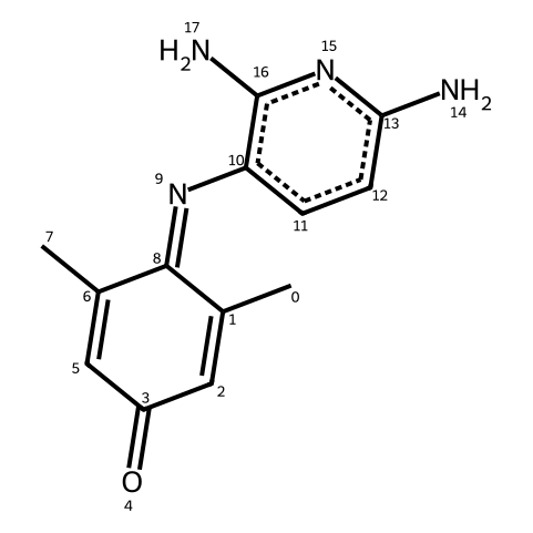 CC1=CC(=O)C=C(C)C1=Nc1ccc(N)nc1N